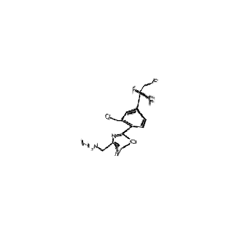 NCc1noc(-c2ccc(C(F)(F)F)cc2Cl)n1